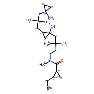 CN(CCC(C)(C)CC1(C#N)CC1CC(C)(C)CC1(N)CC1)C(=O)C1CC1CC(C)(C)C